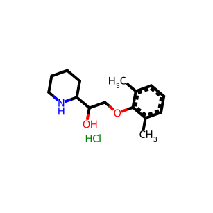 Cc1cccc(C)c1OCC(O)C1CCCCN1.Cl